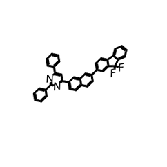 FC1(F)c2ccccc2-c2ccc(-c3ccc4ccc(-c5cc(-c6ccccc6)nc(-c6ccccc6)n5)cc4c3)cc21